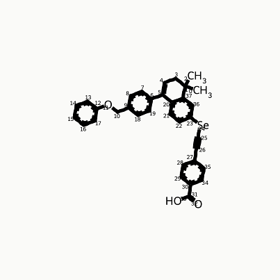 CC1(C)CC=C(c2ccc(COc3ccccc3)cc2)c2ccc([Se]C#Cc3ccc(C(=O)O)cc3)cc21